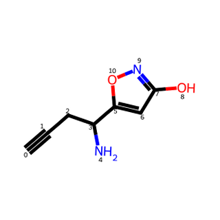 C#CCC(N)c1cc(O)no1